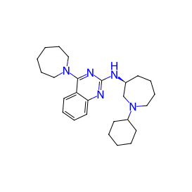 c1ccc2c(N3CCCCCC3)nc(N[C@H]3CCCCN(C4CCCCC4)C3)nc2c1